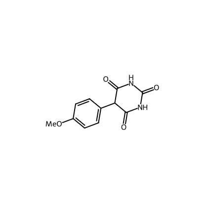 COc1ccc(C2C(=O)NC(=O)NC2=O)cc1